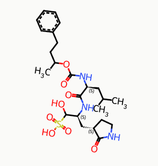 CC(C)C[C@H](NC(=O)OC(C)CCc1ccccc1)C(=O)N[C@@H](C[C@@H]1CCNC1=O)C(O)S(=O)(=O)O